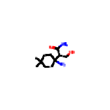 CC1(C)CCC(N)(C(CO)C(N)=O)CC1